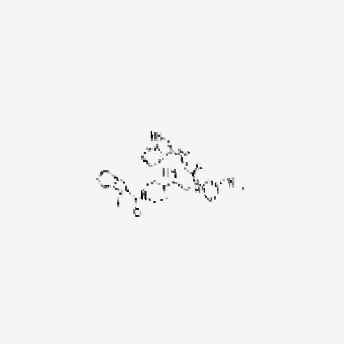 C[C@H](c1c[nH]c2ccccc12)[C@@H](NC(=O)C1CCN(C(=O)c2cc3ccccc3n2C)CC1)C(=O)Nc1cccc(CN)c1